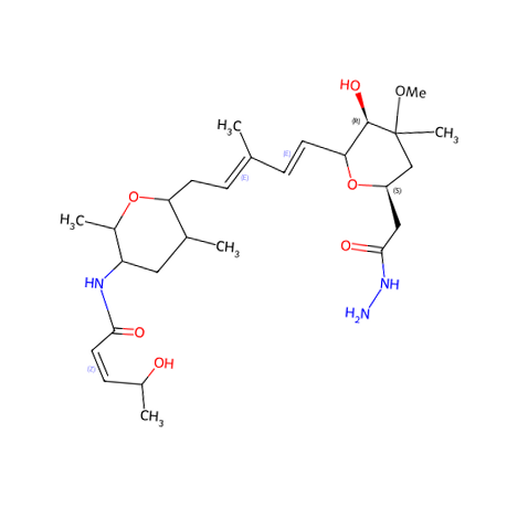 COC1(C)C[C@@H](CC(=O)NN)OC(/C=C/C(C)=C/CC2OC(C)C(NC(=O)/C=C\C(C)O)CC2C)[C@H]1O